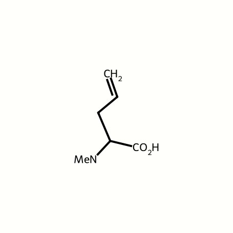 C=CCC(NC)C(=O)O